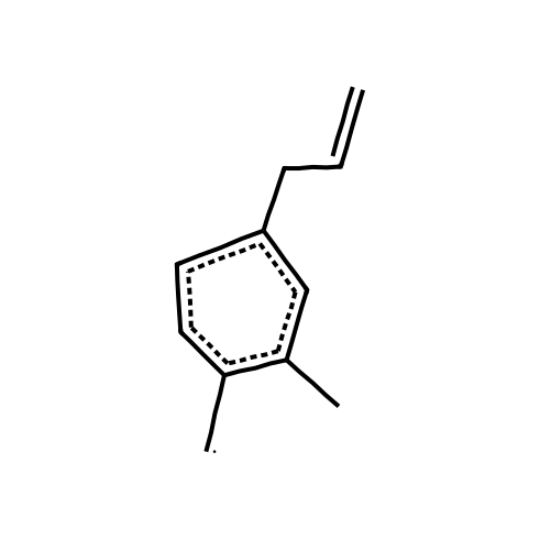 [CH2]c1ccc(CC=C)cc1C